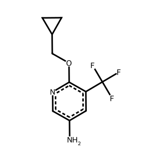 Nc1cnc(OCC2CC2)c(C(F)(F)F)c1